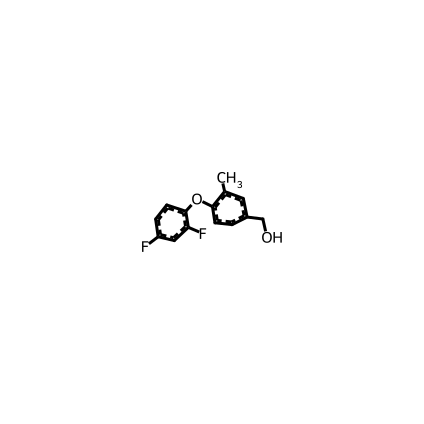 Cc1cc(CO)ccc1Oc1ccc(F)cc1F